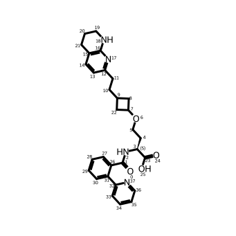 O=C(N[C@@H](CCOC1CC(CCc2ccc3c(n2)NCCC3)C1)C(=O)O)c1ccccc1-c1ccccn1